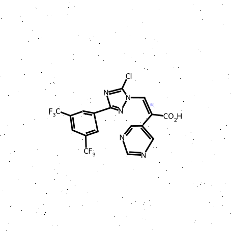 O=C(O)/C(=C/n1nc(-c2cc(C(F)(F)F)cc(C(F)(F)F)c2)nc1Cl)c1cncnc1